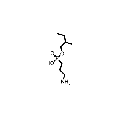 CCC(C)COP(=O)(O)CCCN